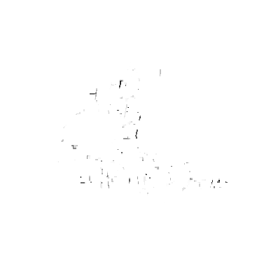 CC[C@@H]1C[C@H](C)CCC=C[C@@H]2C[C@@]2(C(=O)NS(=O)(=O)C2(C)CC2)NC(=O)[C@@H]2C[C@@H](Oc3nc4c(c5cc(OC)ccc35)CCCO4)CN2C(=O)[C@H]1NC(=O)O